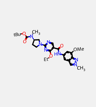 CCOc1nc(N2CC[C@@H](N(C)C(=O)OC(C)(C)C)C2)ncc1C(=O)Nc1cc(OC)c2nn(C)cc2c1